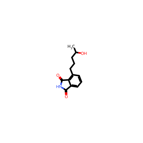 CC(O)CCCc1cccc2c1C(=O)NC2=O